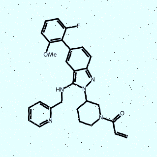 C=CC(=O)N1CCCC(n2nc3ccc(-c4c(F)cccc4OC)cc3c2NCc2ccccn2)C1